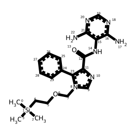 C[Si](C)(C)CCOCn1cnc(C(=O)Nc2c(N)ncnc2N)c1-c1ccccc1